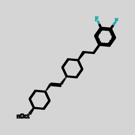 CCCCCCCC[C@H]1CC[C@H](C=C[C@H]2CC[C@H](CCc3ccc(F)c(F)c3)CC2)CC1